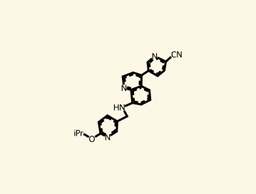 CC(C)Oc1ccc(CNc2cccc3c(-c4ccc(C#N)nc4)ccnc23)cn1